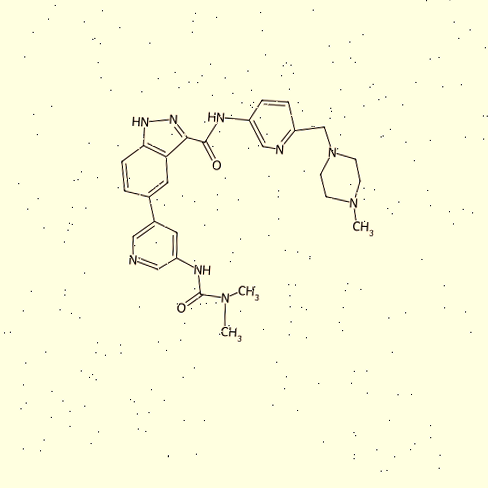 CN1CCN(Cc2ccc(NC(=O)c3n[nH]c4ccc(-c5cncc(NC(=O)N(C)C)c5)cc34)cn2)CC1